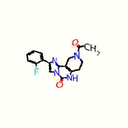 CC(=O)N1CCc2[nH]c(=O)n3cc(-c4ccccc4F)nc3c2C1